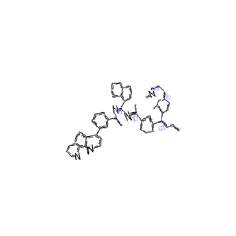 C=C/C=C(\C1=C(C)C/C(=C\C=C/N=C)C=C1)c1cccc(/C(C)=N/C(=N\C(=C)c2cccc(-c3ccnc4c3ccc3cccnc34)c2)c2cccc3ccccc23)c1